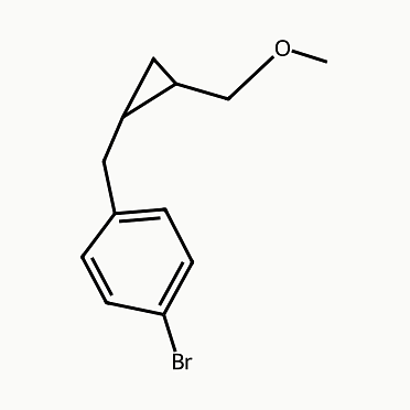 COCC1CC1Cc1ccc(Br)cc1